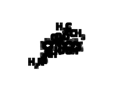 CC(C)COC(=O)N(NC(=O)c1cccc(NC=NN)c1)C(Cc1ccccc1)C(=O)O